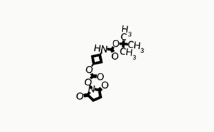 CC(C)(C)OC(=O)N[C@H]1C[C@@H](OC(=O)ON2C(=O)CCC2=O)C1